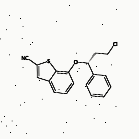 N#Cc1cc2cccc(O[C@H](CCCl)c3ccccc3)c2s1